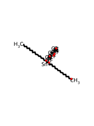 CCCCCCCCCCCCCCCCCC[CH]([Sn+3])CCCCCCCCCCCCCCCCCC.O=S(=O)([O-])C(F)(F)F.O=S(=O)([O-])C(F)(F)F.O=S(=O)([O-])C(F)(F)F